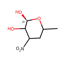 CC1CC([N+](=O)[O-])C(O)[C@@H](O)O1